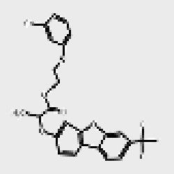 CC(Oc1ccc2c(c1)oc1cc(C(F)(F)F)ccc12)C(=O)OCCOc1cccc(Cl)c1